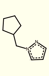 [c]1ccnn1CC1CCCC1